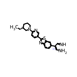 CC[C@H]1CCCN(c2ccc(-c3nc4ccc(/C(C=N)=C/N)cc4s3)cn2)C1